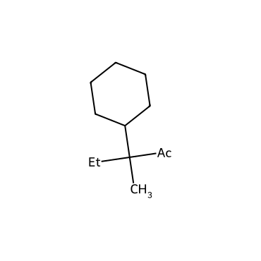 CCC(C)(C(C)=O)C1CCCCC1